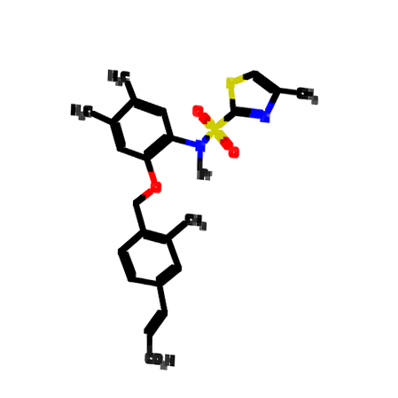 Cc1csc(S(=O)(=O)N(c2cc(C)c(C)cc2OCc2ccc(/C=C/C(=O)O)cc2C)C(C)C)n1